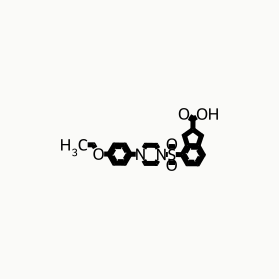 CCOc1ccc(N2CCN(S(=O)(=O)c3cccc4c3CC(C(=O)O)C4)CC2)cc1